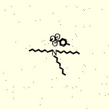 CCCCCCCCN(CCCCCCCC)CCCCCCCC.COS(=O)(=O)c1ccc(C)cc1